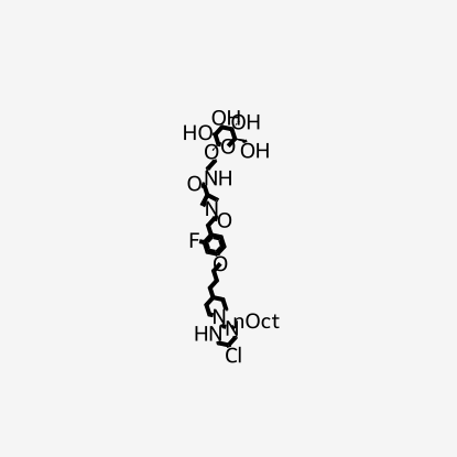 CCCCCCCCN1CC(Cl)CNC1N1CCC(CCCOc2ccc(CC(=O)N3CC(C(=O)NCCO[C@H]4O[C@H](CO)[C@@H](O)[C@H](O)[C@@H]4O)C3)c(F)c2)CC1